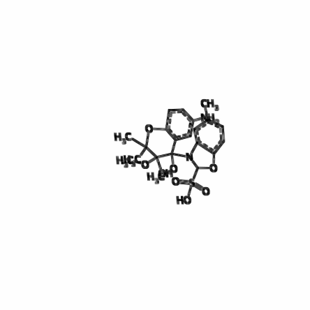 COC1(N2c3cc(C)ccc3OC2S(=O)(=O)O)c2cc(N)ccc2OC(C)(C)C1(O)OC